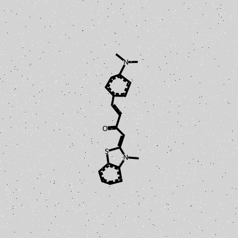 CN(C)c1ccc(/C=C/C(=O)/C=C2\Sc3ccccc3N2C)cc1